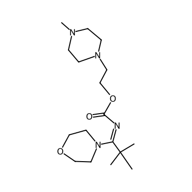 CN1CCN(CCOC(=O)/N=C(\N2CCOCC2)C(C)(C)C)CC1